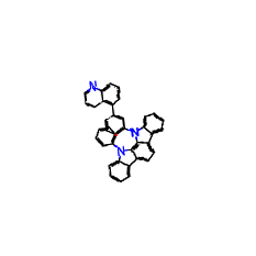 c1ccc(-n2c3ccccc3c3ccc4c5ccccc5n(-c5cccc(-c6cccc7ncccc67)c5)c4c32)cc1